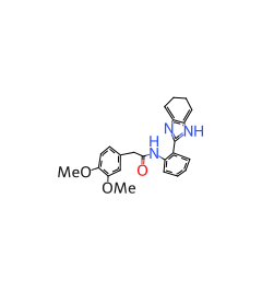 COc1ccc(CC(=O)Nc2ccccc2-c2nc3c([nH]2)=CCCC=3)cc1OC